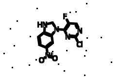 O=[N+]([O-])c1ccc2c(c1)N(c1nc(Cl)ncc1F)CN2